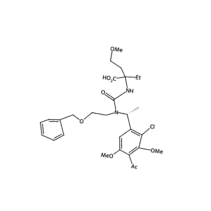 CCC(CCOC)(NC(=O)N(CCOCc1ccccc1)[C@H](C)c1cc(OC)c(C(C)=O)c(OC)c1Cl)C(=O)O